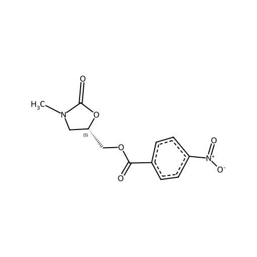 CN1C[C@@H](COC(=O)c2ccc([N+](=O)[O-])cc2)OC1=O